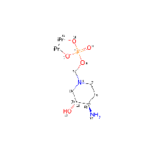 CC(C)OP(=O)(OCN1CC[C@@H](N)[C@H](O)C1)OC(C)C